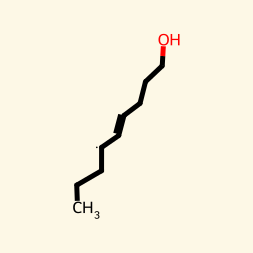 CCC[CH]C=CCCCO